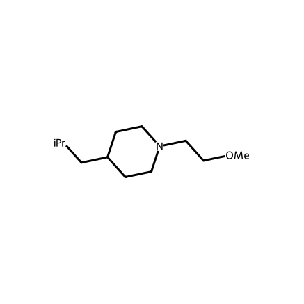 COCCN1CCC(CC(C)C)CC1